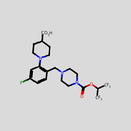 O=C(O)C1CCN(c2cc(F)ccc2CN2CCN(C(=O)OC(C(F)(F)F)C(F)(F)F)CC2)CC1